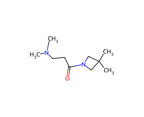 CN(C)CCC(=O)N1CC(C)(C)C1